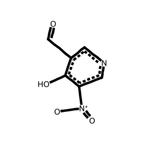 O=Cc1cncc([N+](=O)[O-])c1O